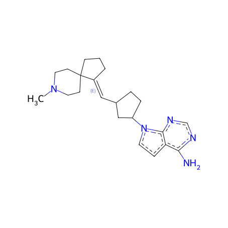 CN1CCC2(CCC/C2=C\C2CCC(n3ccc4c(N)ncnc43)C2)CC1